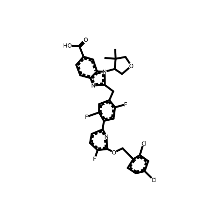 CC1(C)COCC1n1c(Cc2cc(F)c(-c3ccc(F)c(OCc4ccc(Cl)cc4Cl)n3)cc2F)nc2ccc(C(=O)O)cc21